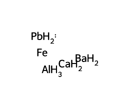 [AlH3].[BaH2].[CaH2].[Fe].[PbH2]